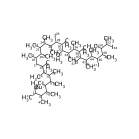 CCC(C)C(C)C(C)C(C)C(C)C(C)C(C)C(C)C(C)CC(C)C(C)C(C)C(C)C(C)C(I)C(C)C(C)C(C)C(C)C(C)C(I)C(C)C(C)C(I)C(C)C(C)C(C)I